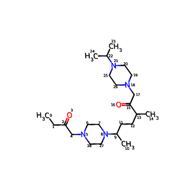 CCC(=O)CN1CCN(C(C)CCC(C)C(=O)CN2CCN(C(C)C)CC2)CC1